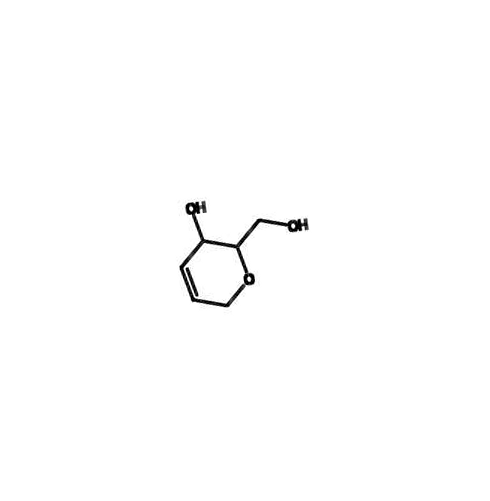 OCC1OCC=CC1O